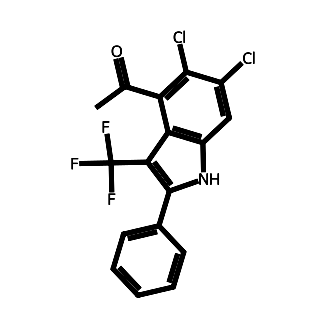 CC(=O)c1c(Cl)c(Cl)cc2[nH]c(-c3ccccc3)c(C(F)(F)F)c12